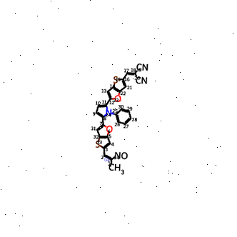 C/C(=C/c1cc2oc(-c3ccc(-c4cc5sc(C=C(C#N)C#N)cc5o4)n3-c3ccccc3)cc2s1)N=O